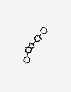 c1cc(N2CCCCC2)ncc1-c1nc2ncc(N3CCOCC3)cc2s1